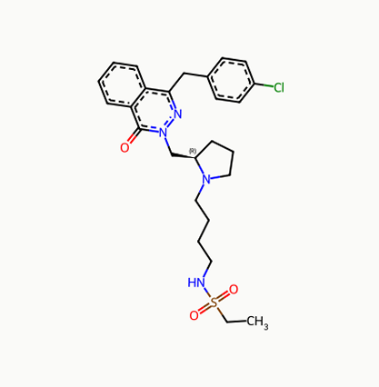 CCS(=O)(=O)NCCCCN1CCC[C@@H]1Cn1nc(Cc2ccc(Cl)cc2)c2ccccc2c1=O